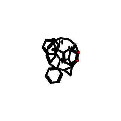 C1=CC23CC2CC2=CC=C(CCC1=CC3N(c1ccccc1)c1ccccc1)[C@@H](c1ncccn1)C2